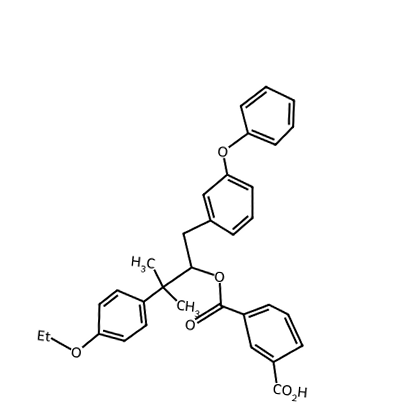 CCOc1ccc(C(C)(C)C(Cc2cccc(Oc3ccccc3)c2)OC(=O)c2cccc(C(=O)O)c2)cc1